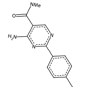 CNC(=O)c1cnc(-c2ccc(C)cc2)nc1N